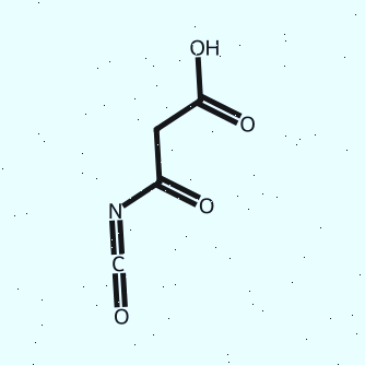 O=C=NC(=O)CC(=O)O